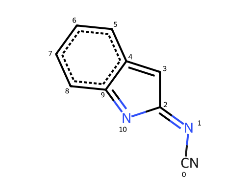 N#CN=C1C=c2ccccc2=N1